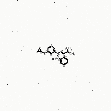 CC(C)C1=NN(c2cccc(SC3CC3)c2)B(O)c2ccccc21